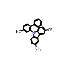 N#Cc1ccc(-c2ccccc2)c(-n2c3ccc(C(F)(F)F)cc3c3cc(C(F)(F)F)ccc32)c1